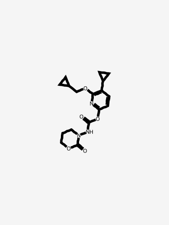 O=C(NN1CCCOC1=O)Oc1ccc(C2CC2)c(OCC2CC2)n1